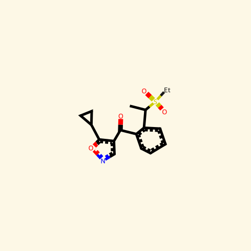 CCS(=O)(=O)C(C)c1ccccc1C(=O)c1cnoc1C1CC1